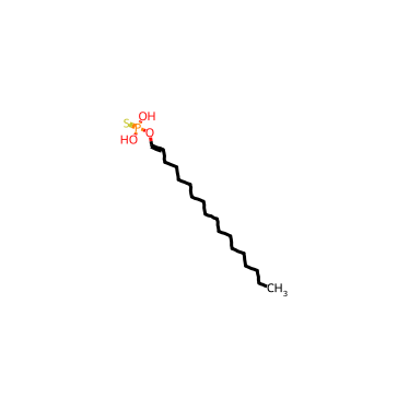 CCCCCCCCCCCCCCCCC=COP(O)(O)=S